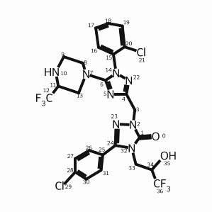 O=c1n(Cc2nc(N3CCNC(C(F)(F)F)C3)n(-c3ccccc3Cl)n2)nc(-c2ccc(Cl)cc2)n1CC(O)C(F)(F)F